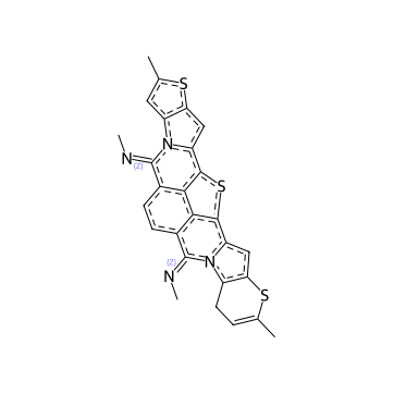 C/N=c1/c2ccc3/c(=N/C)n4c5cc(C)sc5cc4c4sc(c2c34)c2cc3c(n12)CC=C(C)S3